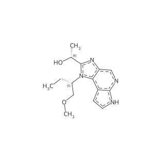 CC[C@@H](COC)n1c([C@@H](C)O)nc2cnc3[nH]ccc3c21